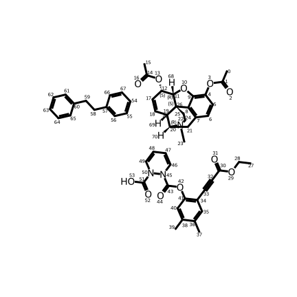 CC(=O)Oc1ccc2c3c1O[C@H]1[C@@H](OC(C)=O)C=C[C@H]4[C@@H](C2)N(C)CC[C@@]341.CCOC(=O)C#Cc1cc(C)c(C)cc1OC(=O)N1C=CC=CN1C(=O)O.c1ccc(CCc2ccccc2)cc1